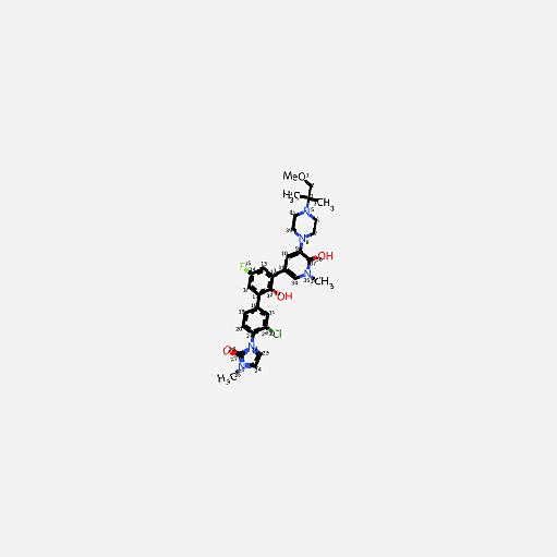 COCC(C)(C)N1CCN(C2=CC(c3cc(F)cc(-c4ccc(-n5ccn(C)c5=O)c(Cl)c4)c3O)=CN(C)C2O)CC1